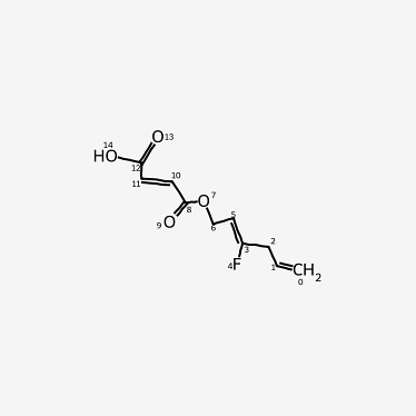 C=CCC(F)=CCOC(=O)C=CC(=O)O